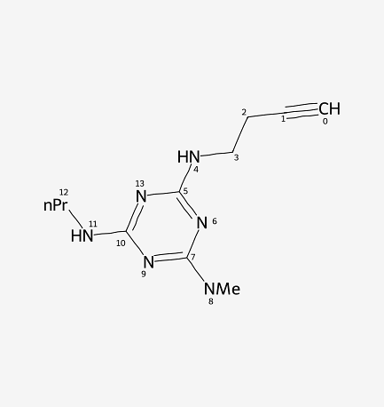 C#CCCNc1nc(NC)nc(NCCC)n1